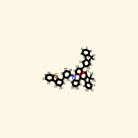 CC1(C)c2ccccc2-c2cc(-c3ccc(N(c4cccc(-c5cccc6c5sc5ccccc56)c4)c4ccccc4-c4cccc5c4-c4ccccc4C5(C)C)cc3)ccc21